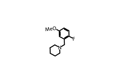 COc1ccc(F)c(CN2CCCCC2)c1